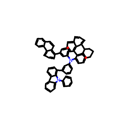 c1ccc(-n2c3ccccc3c3cccc(-c4cccc(N(c5cccc(-c6cccc7c6ccc6ccccc67)c5)c5ccccc5-c5cccc6cccc(C7CCCCC7)c56)c4)c32)cc1